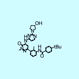 Cc1c(NC(=O)c2ccc(C(C)(C)C)cc2)cccc1-c1cc(Nc2ccnc(N3CCC(O)C3)n2)c(=O)n(C)n1